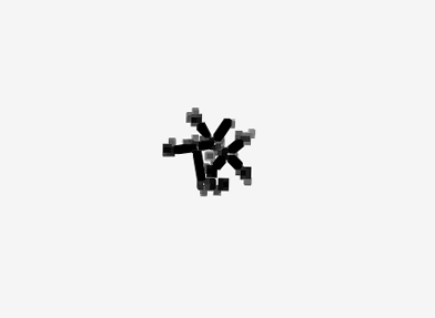 [2H][12C]([2H])([2H])[13C@@]([2H])(C)[13CH](Br)[13C](=O)O